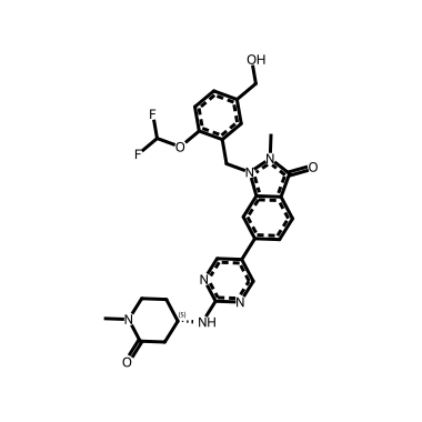 CN1CC[C@H](Nc2ncc(-c3ccc4c(=O)n(C)n(Cc5cc(CO)ccc5OC(F)F)c4c3)cn2)CC1=O